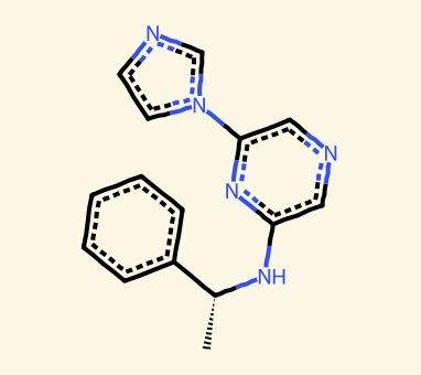 C[C@@H](Nc1cncc(-n2ccnc2)n1)c1ccccc1